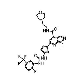 O=C(Nc1ccc(-c2cc(C(=O)NCCN3CCOCC3)c3cn[nH]c3n2)s1)Nc1cc(C(F)(F)F)ccc1F